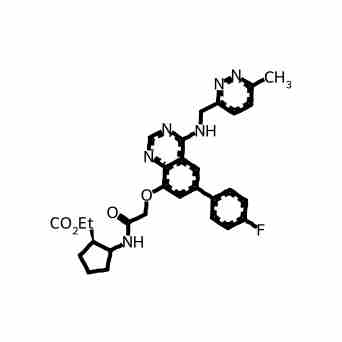 CCOC(=O)[C@@H]1CCCC1NC(=O)COc1cc(-c2ccc(F)cc2)cc2c(NCc3ccc(C)nn3)ncnc12